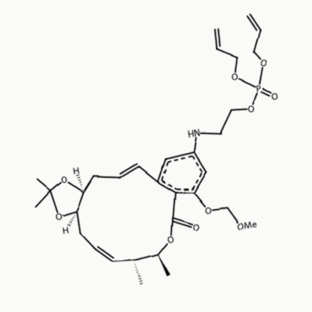 C=CCOP(=O)(OCC=C)OCCNc1cc2c(c(OCOC)c1)C(=O)O[C@@H](C)[C@H](C)/C=C\C[C@H]1OC(C)(C)O[C@H]1C/C=C/2